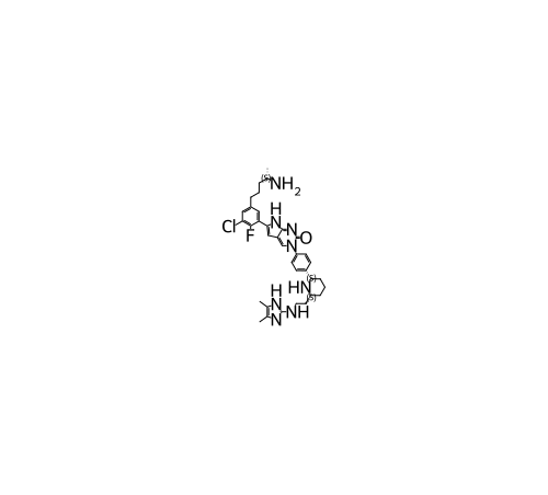 Cc1nc(NCC[C@@H]2CCC[C@@H](c3ccc(-n4cc5cc(-c6cc(CCC[C@H](C)N)cc(Cl)c6F)[nH]c5nc4=O)cc3)N2)[nH]c1C